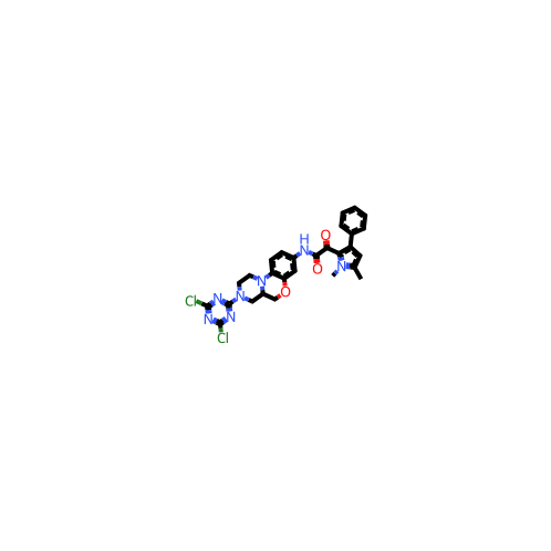 Cc1cc(-c2ccccc2)c(C(=O)C(=O)Nc2ccc3c(c2)OCC2CN(c4nc(Cl)nc(Cl)n4)CCN32)n1C